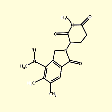 [2H]N(C)c1c(C)c(C)cc2c1CN(C1CCC(=O)N(C)C1=O)C2=O